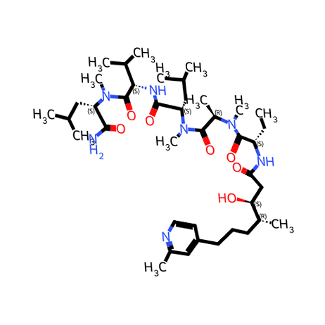 CC[C@H](NC(=O)C[C@H](O)[C@H](C)CCCc1ccnc(C)c1)C(=O)N(C)[C@H](C)C(=O)N(C)[C@@H](CC(C)C)C(=O)N[C@H](C(=O)N(C)[C@@H](CC(C)C)C(N)=O)C(C)C